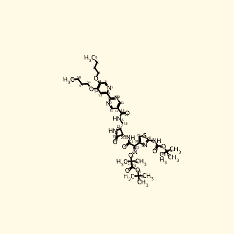 CCCCOc1cnc(-c2ncc(C(=O)NC[C@H]3NC(=O)[C@H]3NC(=O)/C(=N\OC(C)(C)C(=O)OC(C)(C)C)c3csc(NC(=O)OC(C)(C)C)n3)cn2)cc1OCCCC